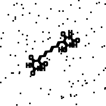 O=C1NC(=O)C(=C/C=C/C=C/C=C/c2c(O)[nH]c(=O)[nH]c2=O)C(=O)N1